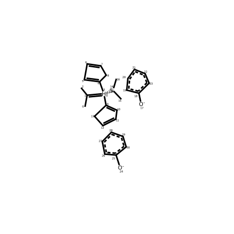 C[C](C)=[Hf+2]([C]1=CC=CC1)([C]1=CC=CC1)=[Si](C)C.[O-]c1ccccc1.[O-]c1ccccc1